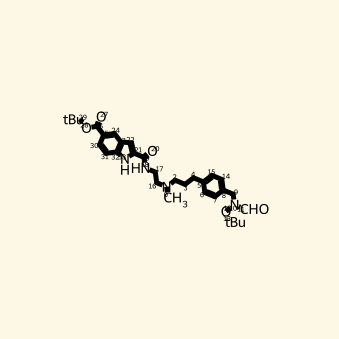 CN(CCCc1ccc(CN(C=O)OC(C)(C)C)cc1)CCNC(=O)c1cc2cc(C(=O)OC(C)(C)C)ccc2[nH]1